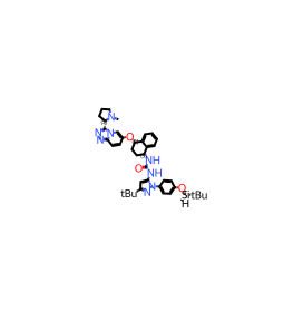 CN1CCC[C@H]1c1nnc2ccc(O[C@@H]3CC[C@H](NC(=O)Nc4cc(C(C)(C)C)nn4-c4ccc(O[SiH](C)C(C)(C)C)cc4)c4ccccc43)cn12